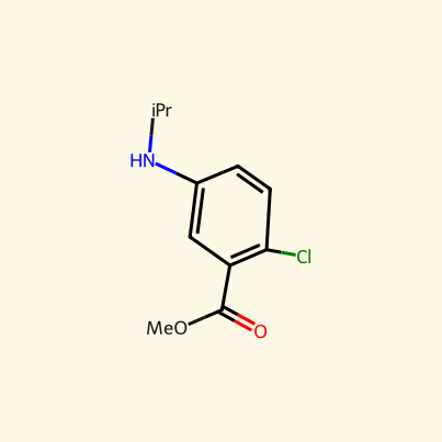 COC(=O)c1cc(NC(C)C)ccc1Cl